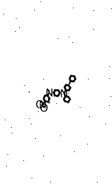 CN(c1ccc(N(c2ccccc2)c2ccc(-c3ccccc3)cc2)cc1)c1ccc([N+](=O)[O-])cc1